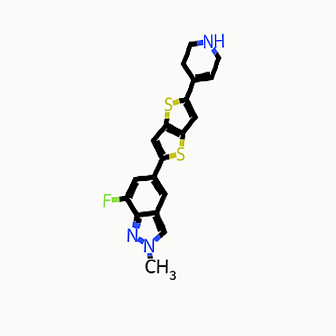 Cn1cc2cc(-c3cc4sc(C5=CCNCC5)cc4s3)cc(F)c2n1